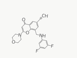 C#Cc1cc(CNc2cc(F)cc(F)c2)c2oc(N3CCOCC3)cc(=O)c2c1